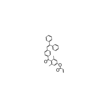 C=CC(=O)Oc1cc(C)c(C(=O)c2ccc(C=C(c3ccccc3)c3ccccc3)cc2)c(C)c1